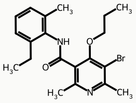 CCCOc1c(Br)c(C)nc(C)c1C(=O)Nc1c(C)cccc1CC